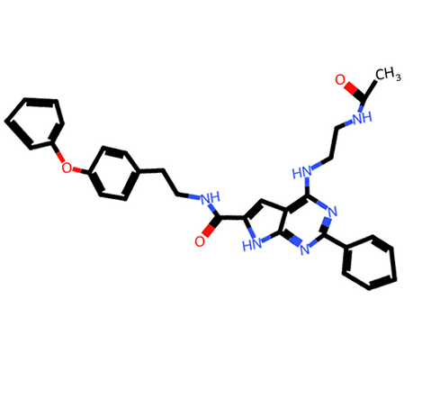 CC(=O)NCCNc1nc(-c2ccccc2)nc2[nH]c(C(=O)NCCc3ccc(Oc4ccccc4)cc3)cc12